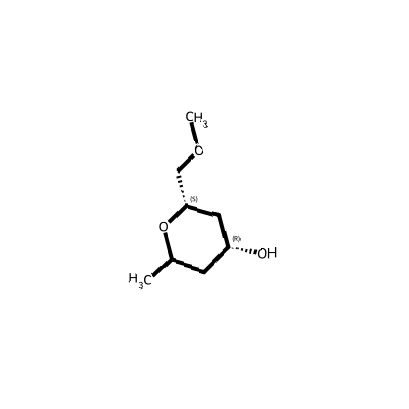 COC[C@@H]1C[C@H](O)CC(C)O1